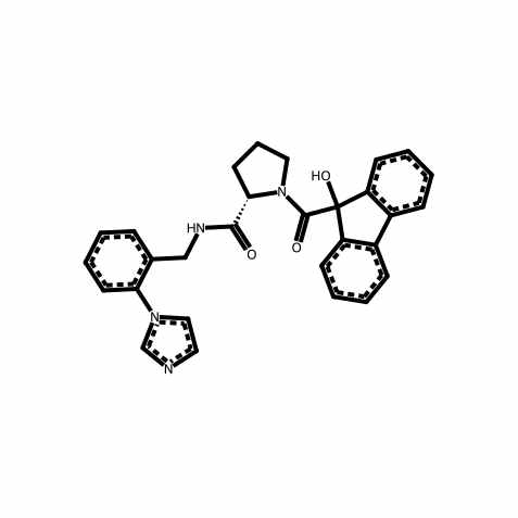 O=C(NCc1ccccc1-n1ccnc1)[C@@H]1CCCN1C(=O)C1(O)c2ccccc2-c2ccccc21